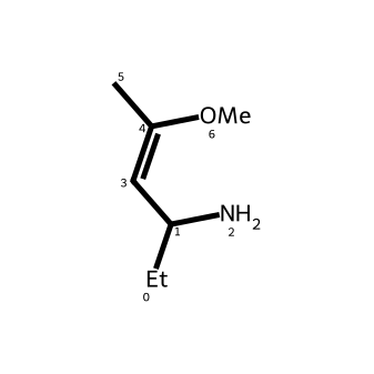 CCC(N)/C=C(/C)OC